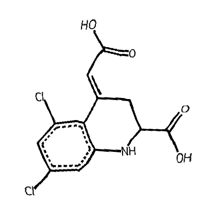 O=C(O)/C=C1\CC(C(=O)O)Nc2cc(Cl)cc(Cl)c21